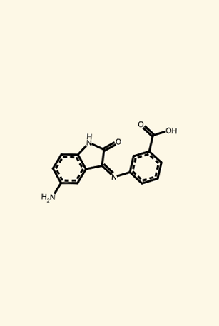 Nc1ccc2c(c1)/C(=N/c1cccc(C(=O)O)c1)C(=O)N2